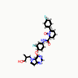 CC(CO)Cn1ccc2ncnc(Oc3ccc(NC(=O)c4cccc(-c5ccc(F)cc5)[n+]4[O-])cc3F)c21